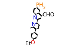 CCOc1ccc(-c2ccc(-c3cc(C=O)c4cc(P)ccc4n3)nc2C)cc1